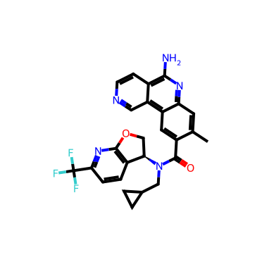 Cc1cc2nc(N)c3ccncc3c2cc1C(=O)N(CC1CC1)[C@@H]1COc2nc(C(F)(F)F)ccc21